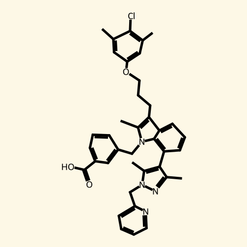 Cc1cc(OCCCc2c(C)n(Cc3cccc(C(=O)O)c3)c3c(-c4c(C)nn(Cc5ccccn5)c4C)cccc23)cc(C)c1Cl